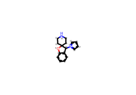 c1ccc2c(c1)OC1(CCNCC1)C2n1cccc1